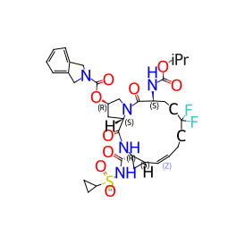 CC(C)OC(=O)N[C@H]1CCC(F)(F)CC/C=C\[C@@H]2C[C@@]2(C(=O)NS(=O)(=O)C2CC2)NC(=O)[C@@H]2C[C@@H](OC(=O)N3Cc4ccccc4C3)CN2C1=O